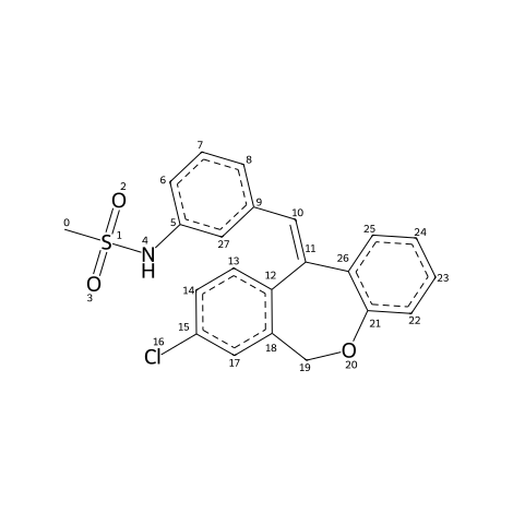 CS(=O)(=O)Nc1cccc(/C=C2\c3ccc(Cl)cc3COc3ccccc32)c1